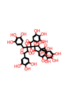 O=C(C(=O)C(O)(C(=O)c1cc(O)c(O)c(O)c1)C(O)(C(=O)c1cc(O)c(O)c(O)c1)C(O)(C(=O)c1cc(O)c(O)c(O)c1)C(O)C(O)C(=O)c1cc(O)c(O)c(O)c1)c1cc(O)c(O)c(O)c1